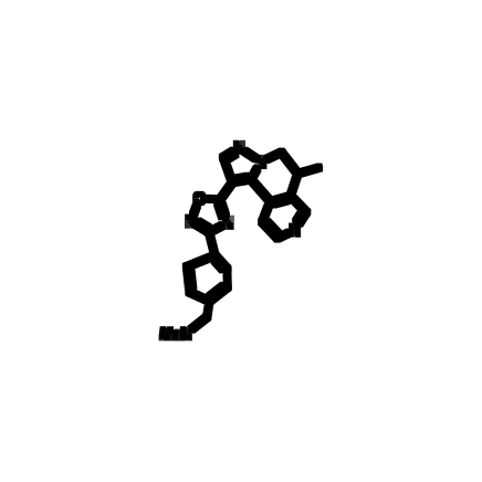 CNCc1ccc(-c2noc(-c3cnn4c3-c3ccncc3C(C)C4)n2)cc1